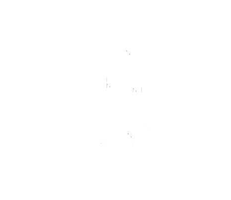 CN(CCO)C(=O)[C@@H]1CC(=O)c2c([nH]c(-c3ccncc3)c2Nc2ccccc2)C1